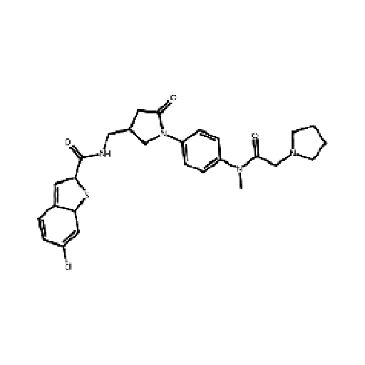 CN(C(=O)CN1CCCC1)c1ccc(N2CC(CNC(=O)C3C=C4C=CC(Cl)=CC4S3)CC2=O)cc1